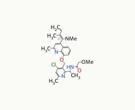 C=C/C(C)=C(\NC)c1cc(C)nc2c(OCc3c(Cl)cc(C)nc3C(C)NC(=O)COC)cccc12